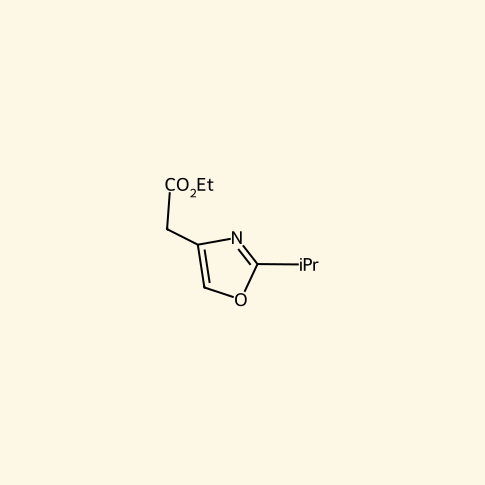 CCOC(=O)Cc1coc(C(C)C)n1